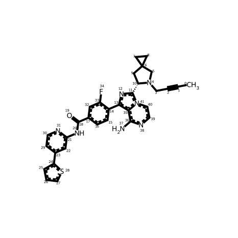 CC#CCN1CC2(CC2)C[C@H]1c1nc(-c2ccc(C(=O)Nc3cc(-c4cccs4)ccn3)cc2F)c2c(N)nccn12